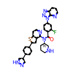 O=C(c1ccc(-n2nnc3cccnc32)cc1F)N(c1nccc2sc(-c3ccc(-c4cn[nH]c4)cc3)cc12)[C@@H]1CCCNC1